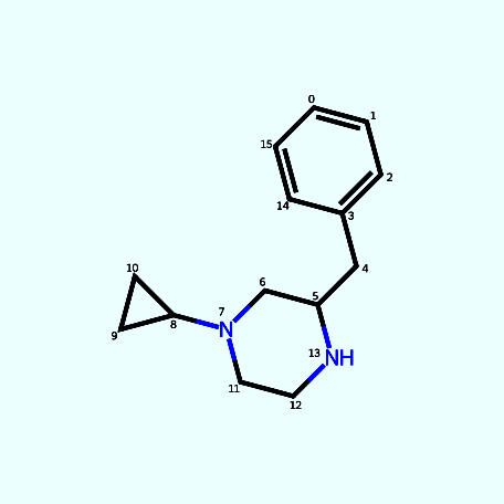 c1ccc(CC2CN(C3CC3)CCN2)cc1